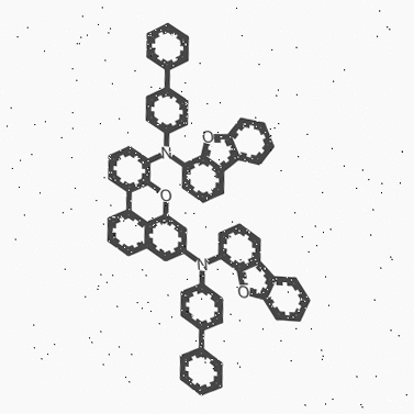 c1ccc(-c2ccc(N(c3cc4c5c(cccc5c3)-c3cccc(N(c5ccc(-c6ccccc6)cc5)c5cccc6c5oc5ccccc56)c3O4)c3cccc4c3oc3ccccc34)cc2)cc1